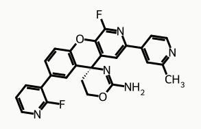 Cc1cc(-c2cc3c(c(F)n2)Oc2ccc(-c4cccnc4F)cc2[C@@]32CCOC(N)=N2)ccn1